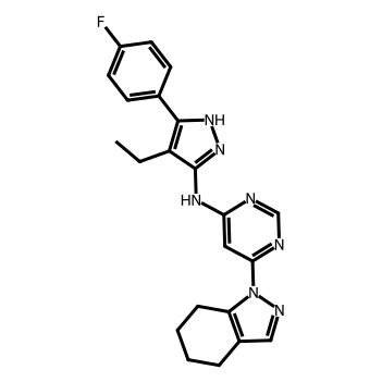 CCc1c(Nc2cc(-n3ncc4c3CCCC4)ncn2)n[nH]c1-c1ccc(F)cc1